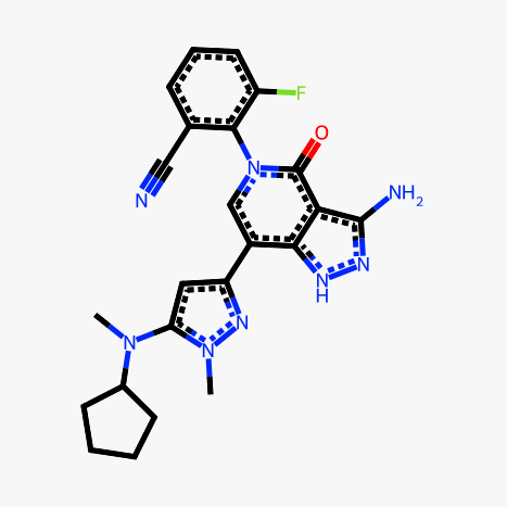 CN(c1cc(-c2cn(-c3c(F)cccc3C#N)c(=O)c3c(N)n[nH]c23)nn1C)C1CCCC1